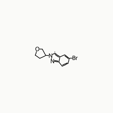 Brc1ccc2nn(C3CCOC3)[c]c2c1